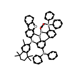 Cc1cc2c(cc1N1c3cc(N(c4ccccc4)c4ccccc4)cc4c3B(c3c1ccc1c3oc3ccccc31)N1c3ccccc3S(c3ccccc3)(c3ccccc3)c3cccc-4c31)C(C)(C)CCC2(C)C